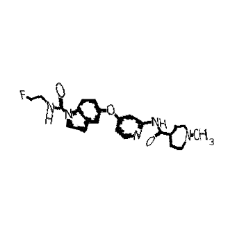 CN1CCC(C(=O)Nc2cc(Oc3ccc4c(ccn4C(=O)NCCF)c3)ccn2)CC1